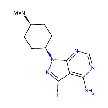 CN[C@H]1CC[C@@H](n2nc(I)c3c(N)ncnc32)CC1